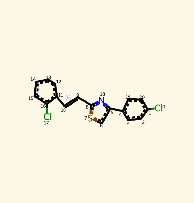 Clc1ccc(-c2csc(/C=C/c3ccccc3Cl)n2)cc1